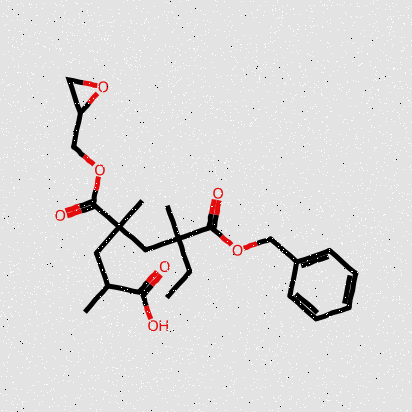 CCC(C)(CC(C)(CC(C)C(=O)O)C(=O)OCC1CO1)C(=O)OCc1ccccc1